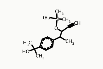 C#CC(O[Si](C)(C)C(C)(C)C)C(C)c1ccc(C(C)(C)O)cc1